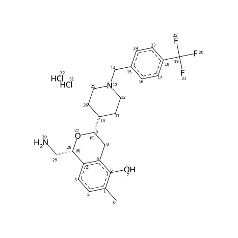 Cc1ccc2c(c1O)C[C@@H](C1CCN(Cc3ccc(C(F)(F)F)cc3)CC1)O[C@H]2CN.Cl.Cl